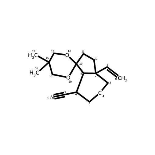 C=CC12CCCC(C#N)C1C1(CC2)OCC(C)(C)CO1